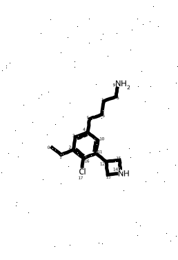 CCc1cc(CCCCN)cc(C2CNC2)c1Cl